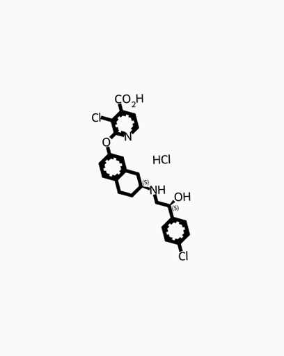 Cl.O=C(O)c1ccnc(Oc2ccc3c(c2)C[C@@H](NC[C@@H](O)c2ccc(Cl)cc2)CC3)c1Cl